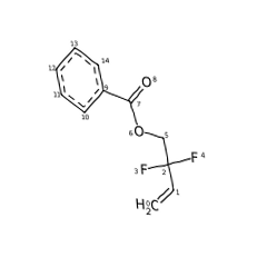 C=CC(F)(F)COC(=O)c1ccccc1